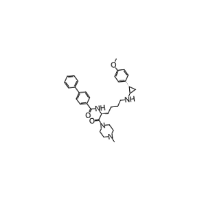 COc1ccc([C@@H]2CC2NCCCC[C@H](NC(=O)c2ccc(-c3ccccc3)cc2)C(=O)N2CCN(C)CC2)cc1